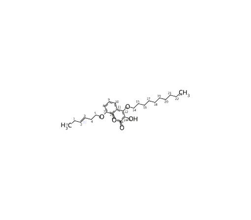 CC/C=C/CCOc1cccc2c(OCCCCCCCCCC)c(O)c(=O)oc12